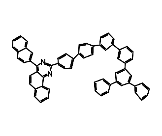 c1ccc(-c2cc(-c3ccccc3)cc(-c3cccc(-c4cccc(-c5ccc(-c6ccc(-c7nc(-c8ccc9ccccc9c8)c8ccc9ccccc9c8n7)cc6)cc5)c4)c3)c2)cc1